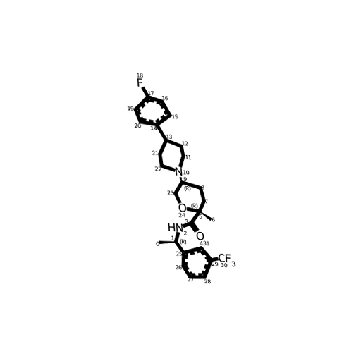 C[C@@H](NC(=O)[C@@]1(C)CC[C@@H](N2CCC(c3ccc(F)cc3)CC2)CO1)c1cccc(C(F)(F)F)c1